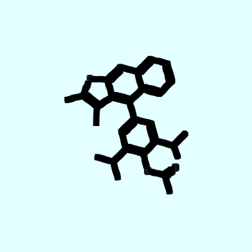 CC(=O)Oc1c(C(C)C)cc(-c2c3ccccc3cc3sc(C)c(C)c23)cc1C(C)C